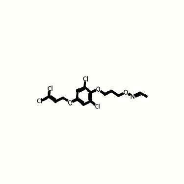 CC=NOCCCOc1c(Cl)cc(OCC=C(Cl)Cl)cc1Cl